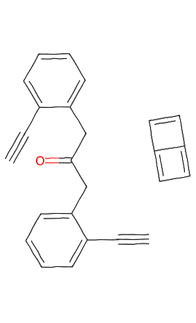 C#Cc1ccccc1CC(=O)Cc1ccccc1C#C.c1cc2ccc1-2